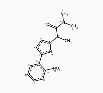 CC(C(=O)N(C)C)n1ccc(-c2ccccc2[N+](=O)[O-])n1